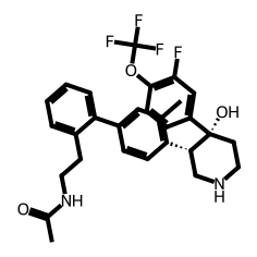 CC(=O)NCCc1ccccc1-c1ccc([C@H]2CNCC[C@]2(O)c2ccc(OC(F)(F)F)c(F)c2)c(C)c1